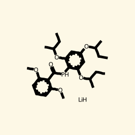 CCC(C)Oc1cc(OC(C)CC)c(PC(=O)c2c(OC)cccc2OC)c(OC(C)CC)c1.[LiH]